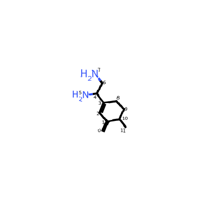 C=C1C=C(C(N)CN)CCC1C